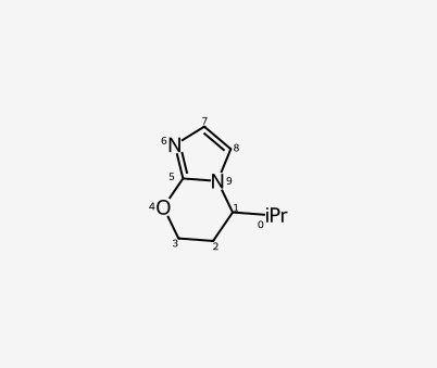 CC(C)C1CCOc2nccn21